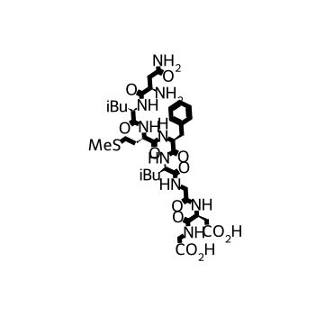 CC[C@H](C)[C@H](NC(=O)[C@H](Cc1ccccc1)NC(=O)[C@H](CCSC)NC(=O)[C@@H](NC(=O)[C@@H](N)CC(N)=O)[C@@H](C)CC)C(=O)NCC(=O)N[C@@H](CC(=O)O)C(=O)NCC(=O)O